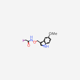 COc1ccc2[nH]cc(CONC(=O)CI)c2c1